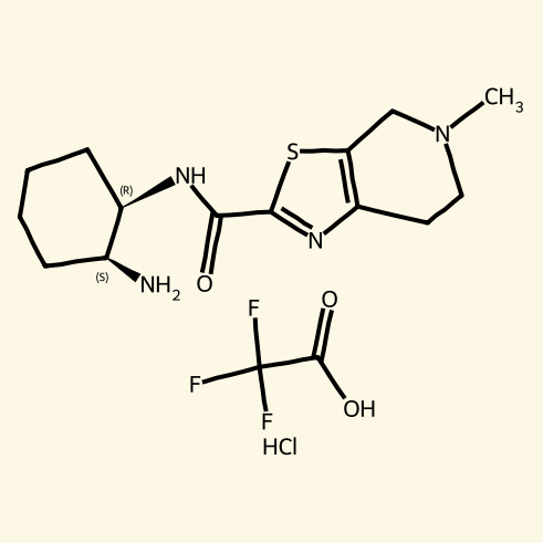 CN1CCc2nc(C(=O)N[C@@H]3CCCC[C@@H]3N)sc2C1.Cl.O=C(O)C(F)(F)F